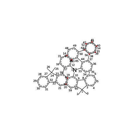 CC1(C)c2ccccc2-c2c(N(c3ccccc3-c3cccc4c3C(C)(C)c3ccccc3-4)c3cccc(-c4ccccc4)c3-c3ccccc3-c3ccccc3)cccc21